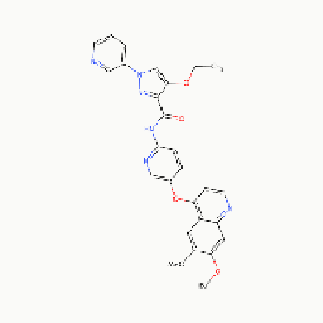 CCC(C)Oc1cc2nccc(Oc3ccc(NC(=O)c4nn(-c5cccnc5)cc4OCC(F)(F)F)nc3)c2cc1OC